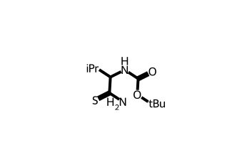 CC(C)C(NC(=O)OC(C)(C)C)C(N)=S